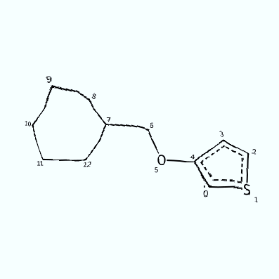 [c]1sccc1OCC1CCCCC1